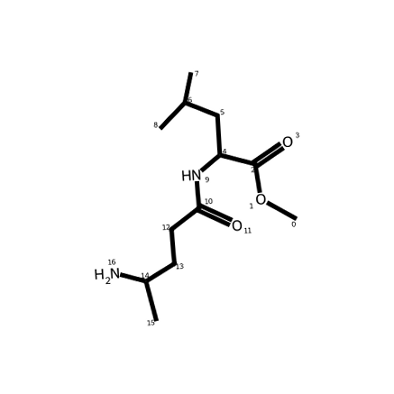 COC(=O)C(CC(C)C)NC(=O)CCC(C)N